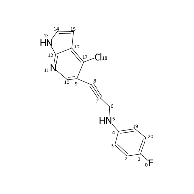 Fc1ccc(NCC#Cc2cnc3[nH]ccc3c2Cl)cc1